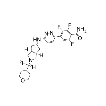 [2H]C([2H])(C1CCOCC1)N1C[C@H]2CC(Nc3ccc(-c4cc(F)c(C(N)=O)c(F)c4F)nn3)C[C@H]2C1